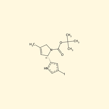 CC1=C[C@@H](c2cc(I)c[nH]2)N(C(=O)OC(C)(C)C)C1